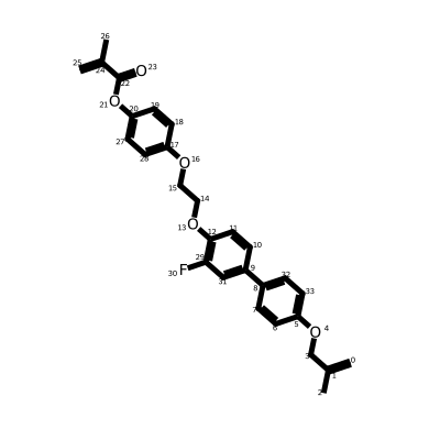 C=C(C)COc1ccc(-c2ccc(OCCOc3ccc(OC(=O)C(=C)C)cc3)c(F)c2)cc1